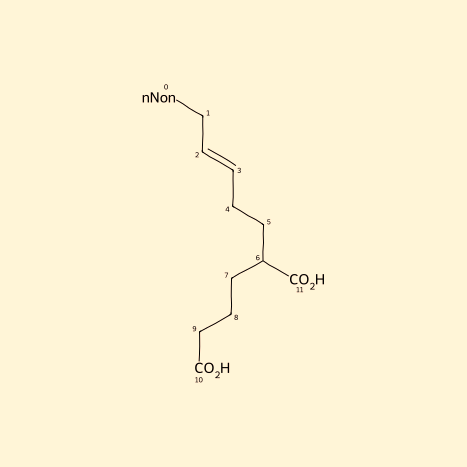 CCCCCCCCCCC=CCCC(CCCC(=O)O)C(=O)O